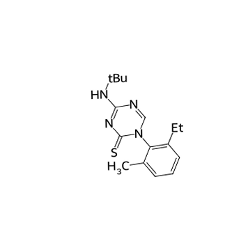 CCc1cccc(C)c1-n1cnc(NC(C)(C)C)nc1=S